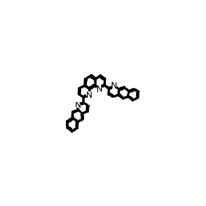 c1ccc2cc3nc(-c4ccc5ccc6ccc(-c7ccc8cc9ccccc9cc8n7)nc6c5n4)ccc3cc2c1